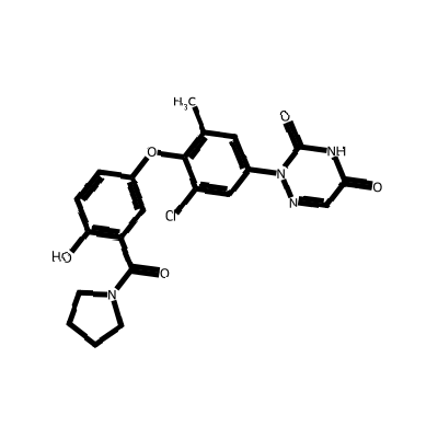 Cc1cc(-n2ncc(=O)[nH]c2=O)cc(Cl)c1Oc1ccc(O)c(C(=O)N2CCCC2)c1